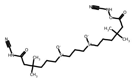 CC(C)(CCC[S+]([O-])CCC[S+]([O-])CCCC(C)(C)CC(=O)ONC#N)CC(=O)NC#N